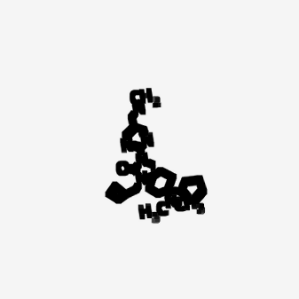 C=NCc1cnc(N2C[C@]3(CC[C@](c4ccccc4)(N(C)C)CC3)N(CC3CCC3)C2=O)nc1